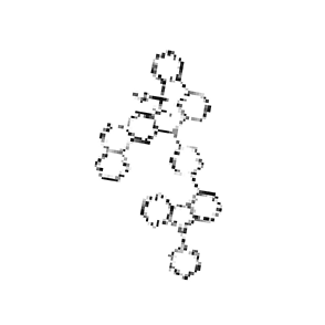 CC1(C)c2ccccc2-c2cccc(N(c3ccc(-c4cccc5c4c4ccccc4n5-c4ccccc4)cc3)c3ccc4ccc5ccccc5c4c3)c21